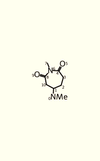 CNC1CCC(=O)N(C)C(=O)C1